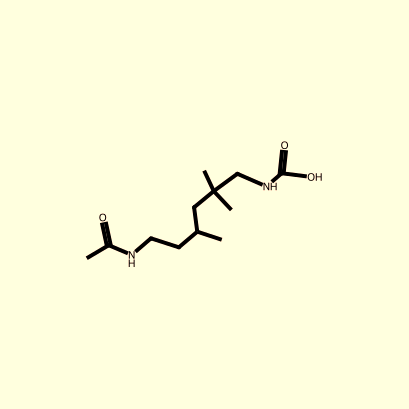 CC(=O)NCCC(C)CC(C)(C)CNC(=O)O